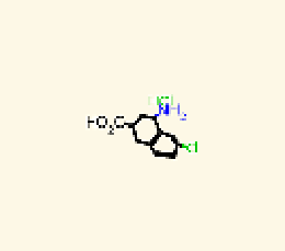 Cl.NC1CC(C(=O)O)Cc2ccc(Cl)cc21